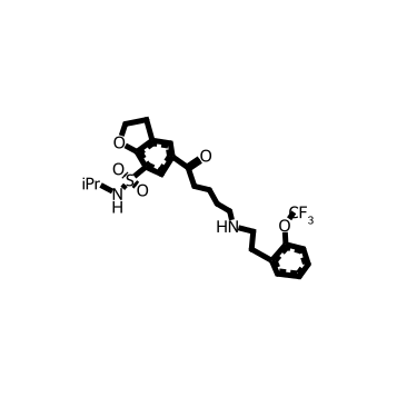 CC(C)NS(=O)(=O)c1cc(C(=O)CCCCNCCc2ccccc2OC(F)(F)F)cc2c1OCC2